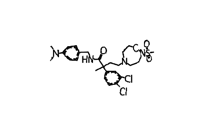 CN(C)c1ccc(CNC(=O)C(C)(CCN2CCCN(S(C)(=O)=O)CC2)c2ccc(Cl)c(Cl)c2)cc1